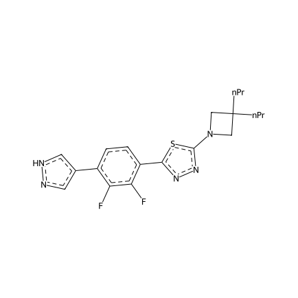 CCCC1(CCC)CN(c2nnc(-c3ccc(-c4cn[nH]c4)c(F)c3F)s2)C1